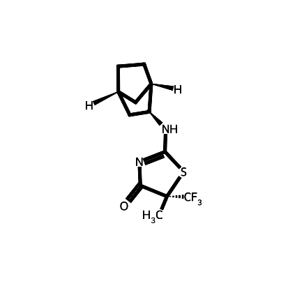 C[C@]1(C(F)(F)F)SC(N[C@H]2C[C@@H]3CC[C@H]2C3)=NC1=O